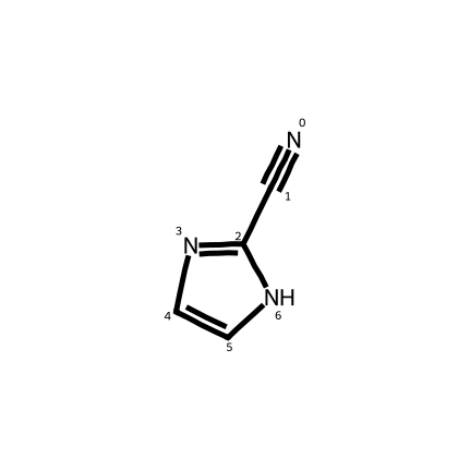 N#Cc1ncc[nH]1